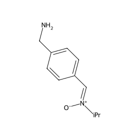 CC(C)[N+]([O-])=Cc1ccc(CN)cc1